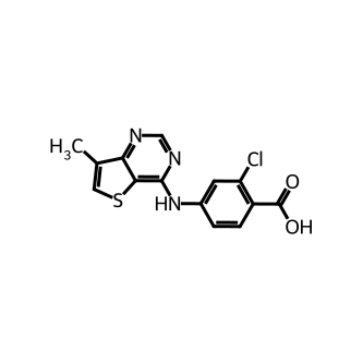 Cc1csc2c(Nc3ccc(C(=O)O)c(Cl)c3)ncnc12